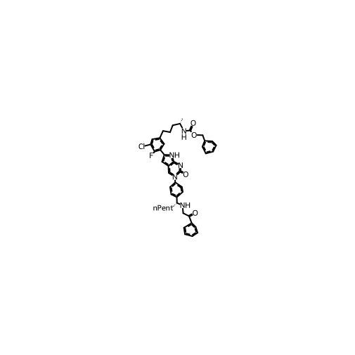 CCCCC[C@@H](NCC(=O)c1ccccc1)c1ccc(-n2cc3cc(-c4cc(CCC[C@H](C)NC(=O)OCc5ccccc5)cc(Cl)c4F)[nH]c3nc2=O)cc1